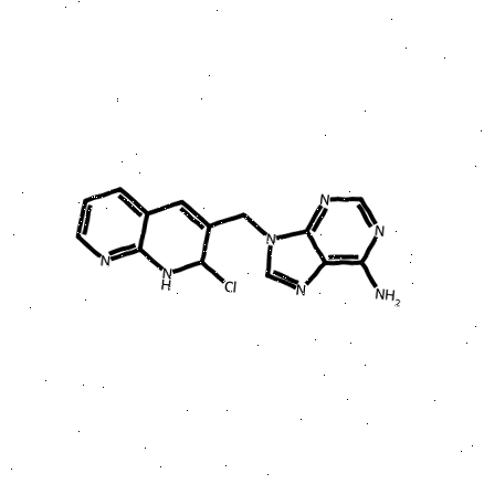 Nc1ncnc2c1ncn2CC1=Cc2cccnc2NC1Cl